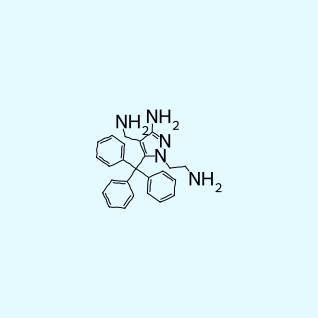 NCCn1nc(N)c(CN)c1C(c1ccccc1)(c1ccccc1)c1ccccc1